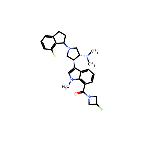 CN(C)[C@H]1CN(C2CCc3cccc(F)c32)C[C@@H]1c1cn(C)c2c(C(=O)N3CC(F)C3)cccc12